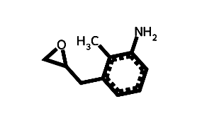 Cc1c(N)cccc1CC1CO1